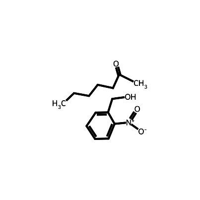 CCCCCC(C)=O.O=[N+]([O-])c1ccccc1CO